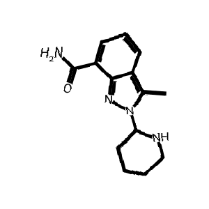 Cc1c2cccc(C(N)=O)c2nn1C1CCCCN1